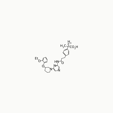 CCOc1ccccc1O[C@@H]1CCCN(c2cncc(NC(=O)CCc3ccc(C(C)(C)C(=O)O)cc3)n2)C1